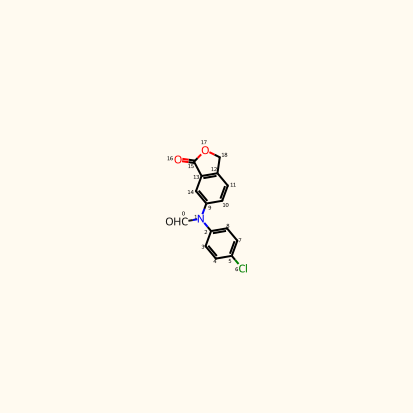 O=CN(c1ccc(Cl)cc1)c1ccc2c(c1)C(=O)OC2